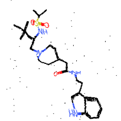 CC(C)S(=O)(=O)NC(CN1CCC(CC(=O)NCCc2c[nH]c3ccccc23)CC1)C(C)(C)C